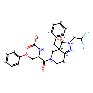 O=C(O)N[C@H](COc1ccccc1)C(=O)N1CCC2=NN(CC(F)F)C(=O)C2(Cc2ccccc2)C1